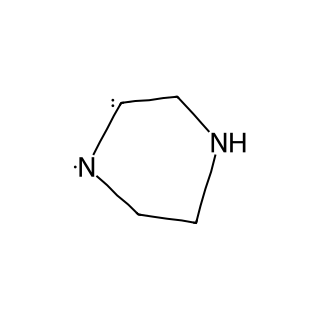 [C]1CNCC[N]1